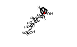 NC(C(=O)Nc1nc(Cl)nc2c1ncn2[C@@H]1O[C@H](CCP(=O)(O)O)C(O)[C@@H]1O)C12CC3C[C@@H](CC(O)(C3)C1)C2